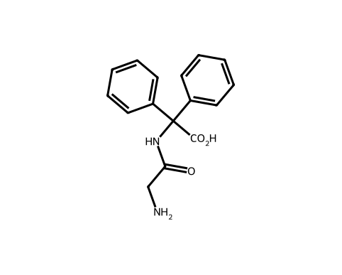 NCC(=O)NC(C(=O)O)(c1ccccc1)c1ccccc1